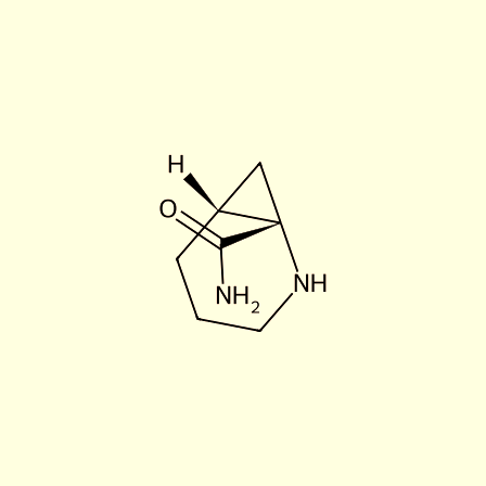 NC(=O)[C@]12C[C@H]1CCCN2